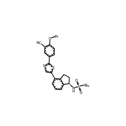 CCCCS(=O)(=O)N[C@@H]1CCc2c(-c3cnc(-c4ccc(OC(C)C)c(C#N)c4)s3)cccc21